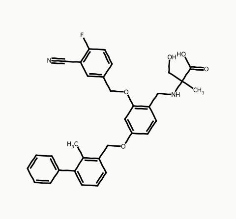 Cc1c(COc2ccc(CNC(C)(CO)C(=O)O)c(OCc3ccc(F)c(C#N)c3)c2)cccc1-c1ccccc1